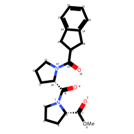 COC(=O)[C@@H]1CCCN1C(=O)[C@@H]1CCCN1C(=O)C1Cc2ccccc2C1